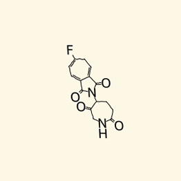 O=C1CCC(N2C(=O)C3=CC=C(F)CC=C3C2=O)C(=O)CN1